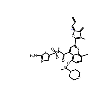 C=C/C=c1/oc(-c2cc(C(=O)NS(=O)(=O)c3cnc(N)s3)c3c(O[C@H](C)C4CCOCC4)ccc(C)c3n2)c(C)c1=C